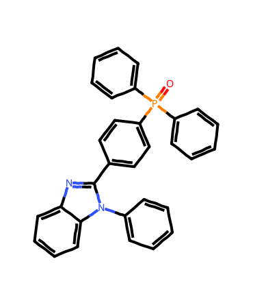 O=P(c1ccccc1)(c1ccccc1)c1ccc(-c2nc3ccccc3n2-c2ccccc2)cc1